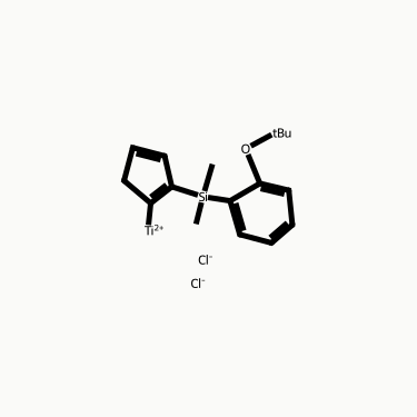 CC(C)(C)Oc1ccccc1[Si](C)(C)C1=[C]([Ti+2])CC=C1.[Cl-].[Cl-]